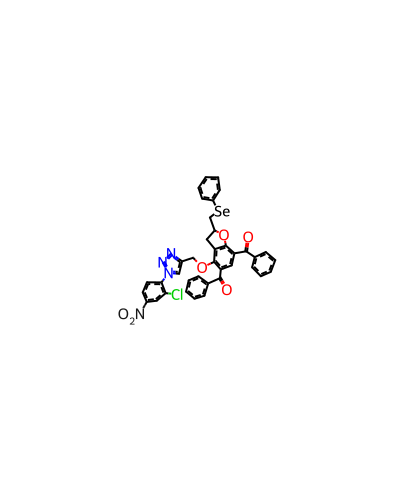 O=C(c1ccccc1)c1cc(C(=O)c2ccccc2)c2c(c1OCc1cn(-c3ccc([N+](=O)[O-])cc3Cl)nn1)CC(C[Se]c1ccccc1)O2